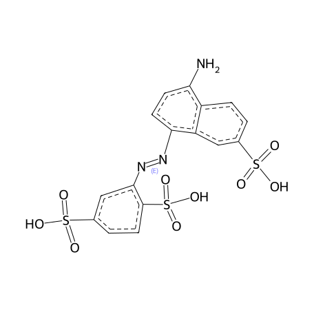 Nc1ccc(/N=N/c2cc(S(=O)(=O)O)ccc2S(=O)(=O)O)c2cc(S(=O)(=O)O)ccc12